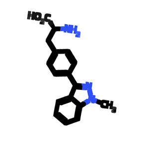 Cn1nc(-c2ccc(C[C@H](N)C(=O)O)cc2)c2ccccc21